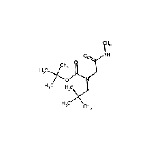 CNC(=O)CN(CC(C)(C)C)C(=O)OC(C)(C)C